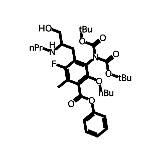 CCCCOc1c(C(=O)Oc2ccccc2)c(C)c(F)c(CC(CO)NCCC)c1N(C(=O)OC(C)(C)C)C(=O)OC(C)(C)C